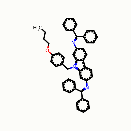 CCCCOc1ccc(Cn2c3cc(N=C(c4ccccc4)c4ccccc4)ccc3c3ccc(N=C(c4ccccc4)c4ccccc4)cc32)cc1